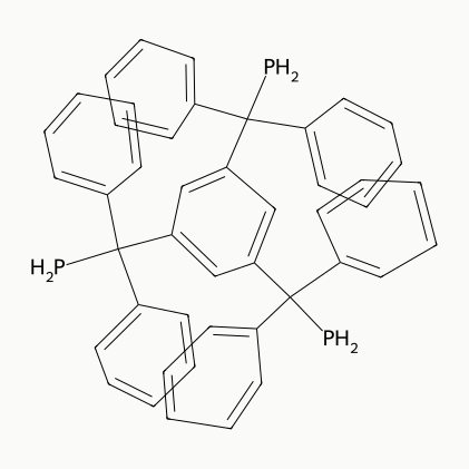 PC(c1ccccc1)(c1ccccc1)c1cc(C(P)(c2ccccc2)c2ccccc2)cc(C(P)(c2ccccc2)c2ccccc2)c1